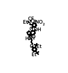 CCN(Cc1cc([N+](=O)[O-])ccc1OC1=C(O)C=CC2C(O)C3C=CC12C3C(=O)NCCCOc1ccc(C(C)(C)CC)cc1C(C)(C)CC)C(=O)C(F)(F)F